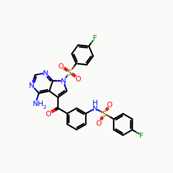 Nc1ncnc2c1c(C(=O)c1cccc(NS(=O)(=O)c3ccc(F)cc3)c1)cn2S(=O)(=O)c1ccc(F)cc1